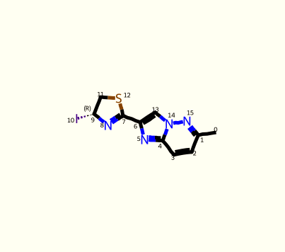 Cc1ccc2nc(C3=N[C@H](I)CS3)cn2n1